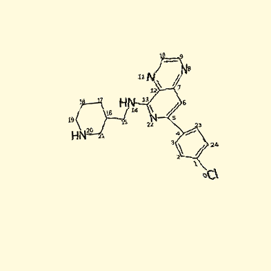 Clc1ccc(-c2cc3nccnc3c(NCC3CCCNC3)n2)cc1